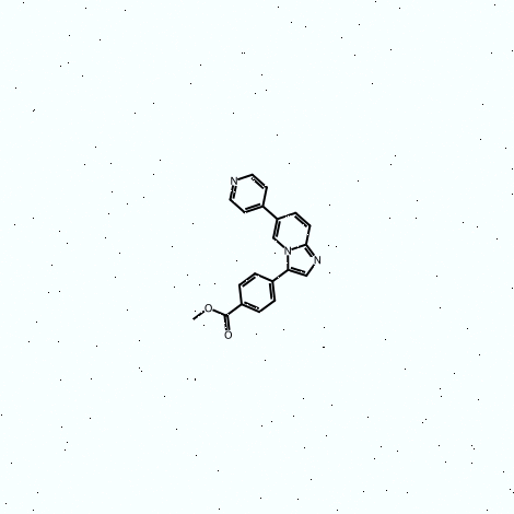 COC(=O)c1ccc(-c2cnc3ccc(-c4ccncc4)cn23)cc1